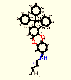 C=C/C=C/Nc1ccc2c(c1)Oc1ccc3c(c1O2)-c1ccccc1C3(c1ccccc1)c1ccccc1